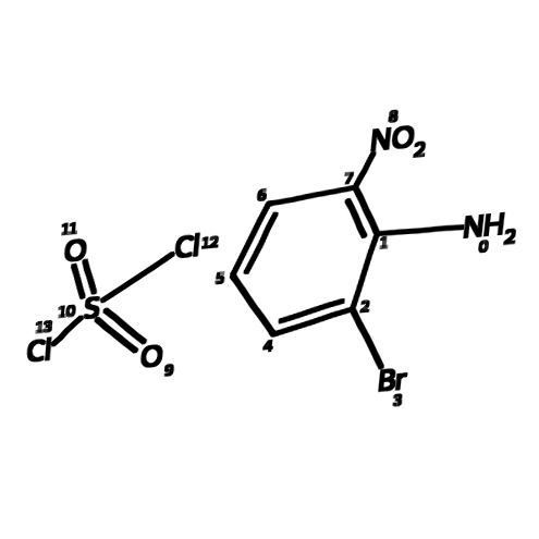 Nc1c(Br)cccc1[N+](=O)[O-].O=S(=O)(Cl)Cl